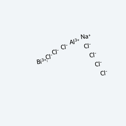 [Al+3].[Bi+3].[Cl-].[Cl-].[Cl-].[Cl-].[Cl-].[Cl-].[Cl-].[Na+]